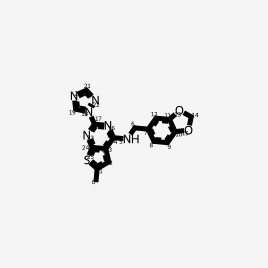 Cc1cc2c(NCc3ccc4c(c3)OCO4)nc(-n3cncn3)nc2s1